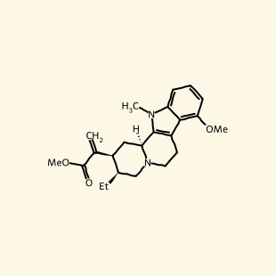 C=C(C(=O)OC)[C@H]1C[C@H]2c3c(c4c(OC)cccc4n3C)CCN2C[C@H]1CC